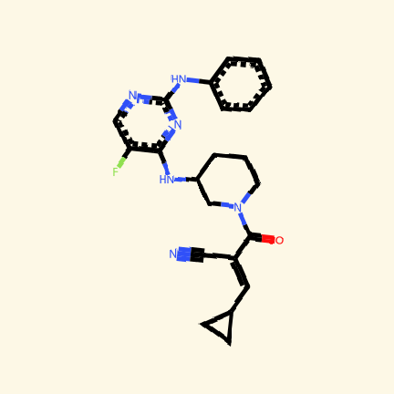 N#CC(=CC1CC1)C(=O)N1CCCC(Nc2nc(Nc3ccccc3)ncc2F)C1